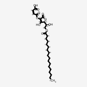 CCCCCCCCCCCCCCCCCC(=O)OC[C@H](O)[C@H]1OC(=O)C(OC(=O)/C=C\C(=O)O)=C1O